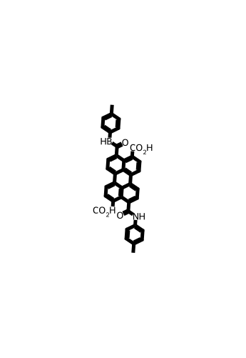 Cc1ccc(BC(=O)c2ccc3c4ccc(C(=O)O)c5c(C(=O)Nc6ccc(C)cc6)ccc(c6ccc(C(=O)O)c2c36)c54)cc1